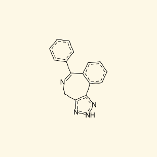 c1ccc(C2=NCc3n[nH]nc3-c3ccccc32)cc1